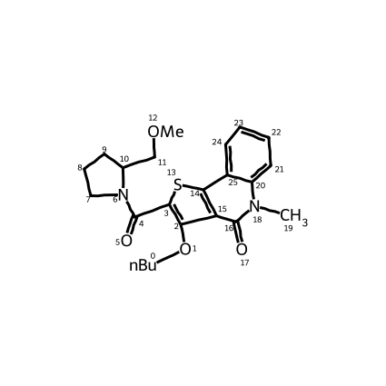 CCCCOc1c(C(=O)N2CCCC2COC)sc2c1c(=O)n(C)c1ccccc21